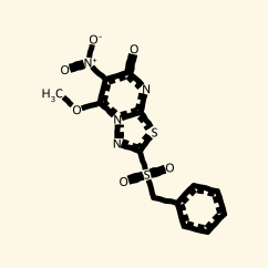 COc1c([N+](=O)[O-])c(=O)nc2sc(S(=O)(=O)Cc3ccccc3)nn12